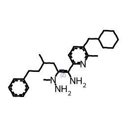 Cc1nc(/C(N)=C(\CC(C)CCc2ccccc2)N(C)N)ccc1CC1CCCCC1